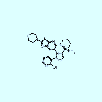 NC(=O)C1=COC(c2cccnc2O)N1c1cc2sc(N3CCOCC3)nc2nc1N1CCCCC1